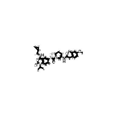 COc1ccc(CC(=O)N[C@@H]2CCCN(C(=O)Nc3cc(C(=O)NCC4CC4)c(N(C=O)C(C)C)cc3F)C2)c(F)c1